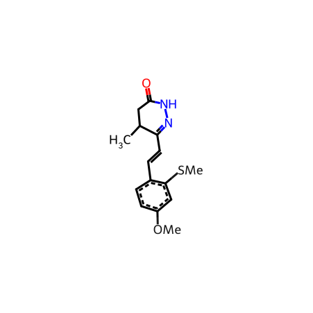 COc1ccc(C=CC2=NNC(=O)CC2C)c(SC)c1